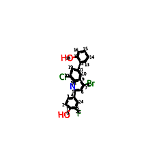 Oc1ccc(-c2cc(Br)c3cc(-c4ccccc4O)cc(Cl)c3n2)cc1F